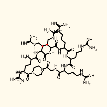 CNC(=O)N1CCN(C(=O)CNC(=O)C(CCCNC(=N)N)NC(=O)C(CCCNC(=N)N)NC(=O)C(CCCNC(=N)N)NC(=O)C(CCCNC(=N)N)NC(=O)C(CCCNC(=N)N)NC(=O)C(N)CCCNC(=N)N)CC1